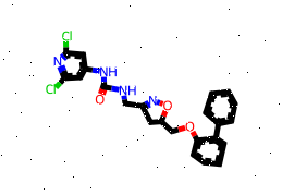 O=C(NCC1=NOC(COc2ccccc2-c2ccccc2)C1)Nc1cc(Cl)nc(Cl)c1